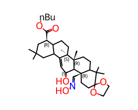 CCCCOC(=O)[C@@H]1CC(C)(C)CC2C3=C[C@H](O)C4[C@@]5(C=NO)CCC6(OCCO6)C(C)(C)C5CC[C@@]4(C)[C@]3(C)CCC21